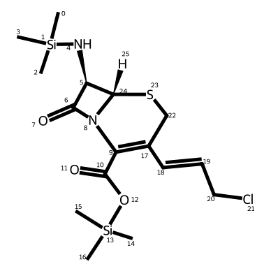 C[Si](C)(C)N[C@@H]1C(=O)N2C(C(=O)O[Si](C)(C)C)=C(/C=C/CCl)CS[C@@H]12